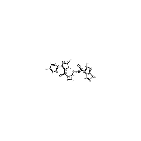 Cc1ccc(-c2nc(C)sc2C(=O)N2CCC2CNC(=O)c2c(C)nc3sccn23)cc1